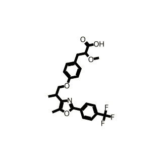 COC(Cc1ccc(OCC(C)c2nc(-c3ccc(C(F)(F)F)cc3)oc2C)cc1)C(=O)O